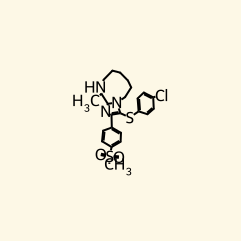 CC1NCCCCCCn2c1nc(-c1ccc(S(C)(=O)=O)cc1)c2Sc1ccc(Cl)cc1